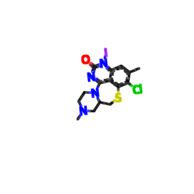 Cc1cc2c3c(nc(=O)n2I)N2CCN(C)CC2CSc3c1Cl